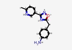 Cc1ccc(-c2noc(Cc3ccc(N)cc3)n2)cn1